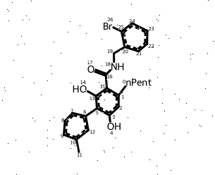 CCCCCc1cc(O)c(-c2cccc(C)c2)c(O)c1C(=O)NCc1ccccc1Br